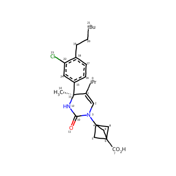 CC(C)C1=CN(C23CC(C(=O)O)(C2)C3)C(=O)N[C@@]1(C)c1ccc(CCC(C)(C)C)c(Cl)c1